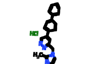 Cc1nccn1Cc1cc(-c2ccc(-c3ccccc3)cc2)cnn1.Cl